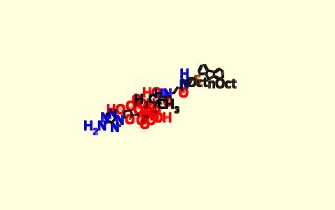 CCCCCCCCC1(CCCCCCCC)c2ccccc2-c2cccc(SCCNC(=O)CCNC(=O)[C@H](O)C(C)(C)COP(=O)(O)OP(=O)(O)OC[C@H]3O[C@@H](n4cnc5c(N)ncnc54)[C@H](O)[C@@H]3OP(=O)(O)O)c21